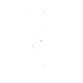 C=C(CNc1ccc(/C(N)=C/N)cc1C)/C(C)=C/N(C)C